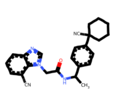 CC(NC(=O)Cn1cnc2cccc(C#N)c21)c1ccc(C2(C#N)CCCCC2)cc1